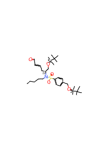 CCCCCN([C@@H](CC=CC=O)CO[Si](C)(C)C(C)(C)C)S(=O)(=O)c1ccc(CO[Si](C)(C)C(C)(C)C)cc1